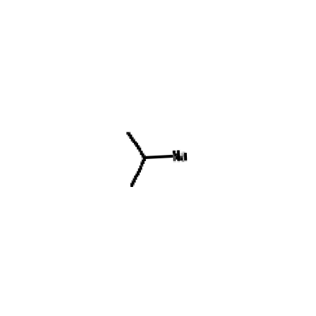 C[CH](C)[Na]